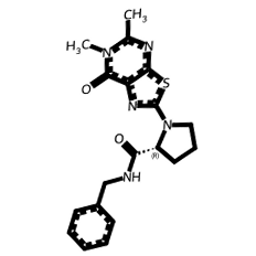 Cc1nc2sc(N3CCC[C@@H]3C(=O)NCc3ccccc3)nc2c(=O)n1C